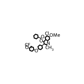 COc1cc2nc(C)c(-c3ccc(Oc4ccc(OC(F)(F)F)cc4)cc3)c(OC(=O)c3ccccc3)c2cc1Cl